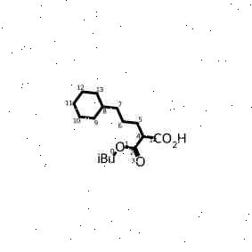 CCC(C)OC(=O)C(CCCC1CCCCC1)C(=O)O